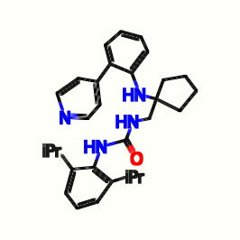 CC(C)c1cccc(C(C)C)c1NC(=O)NCC1(Nc2ccccc2-c2ccncc2)CCCC1